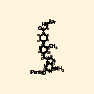 CCCNCC(=O)N1CCN(c2ncc(Cc3cnc4c(N)nc(O[C@@H](C)CCC)nn34)cc2C)CC1